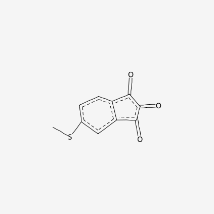 CSc1ccc2c(=O)c(=O)c(=O)c2c1